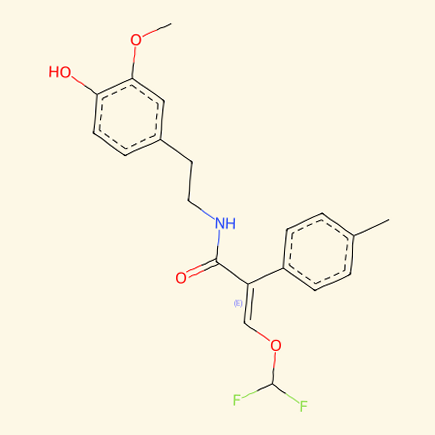 COc1cc(CCNC(=O)/C(=C/OC(F)F)c2ccc(C)cc2)ccc1O